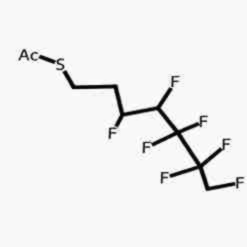 CC(=O)SCCC(F)C(F)C(F)(F)C(F)(F)CF